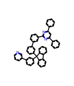 c1ccc(-c2cc(-c3ccccc3)nc(-c3cccc(-c4cccc(C5(c6cccc(-c7cccnc7)c6)c6ccccc6-c6ccccc65)c4)c3)n2)cc1